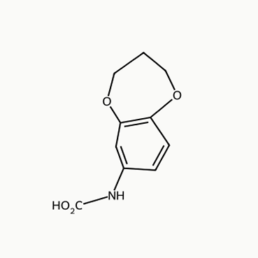 O=C(O)Nc1ccc2c(c1)OCCCO2